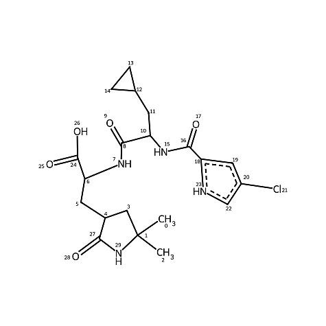 CC1(C)CC(CC(NC(=O)C(CC2CC2)NC(=O)c2cc(Cl)c[nH]2)C(=O)O)C(=O)N1